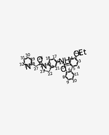 CCOc1ccc(-c2ccccc2)c(C(=O)Nc2ccc3c(c2)CCN3C(=O)Cc2ccccn2)c1